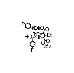 CCc1c(C(=O)OC(C)(C)C)[nH]c(CN(C[C@H](O)c2ccc(F)cc2)C[C@H](O)c2ccc(F)cc2)c1C(=O)OC